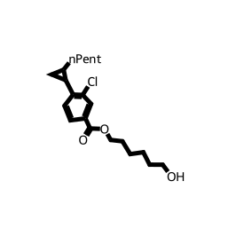 CCCCCC1CC1c1ccc(C(=O)OCCCCCCO)cc1Cl